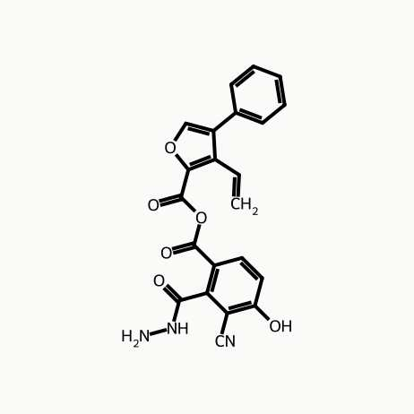 C=Cc1c(-c2ccccc2)coc1C(=O)OC(=O)c1ccc(O)c(C#N)c1C(=O)NN